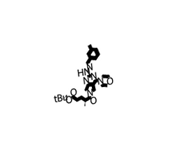 Cc1cccc(/C=N/Nc2nc3c(c(N4CCOCC4)n2)CN(C(=O)[C@H](C)CCC(=O)OC(C)(C)C)C3)c1